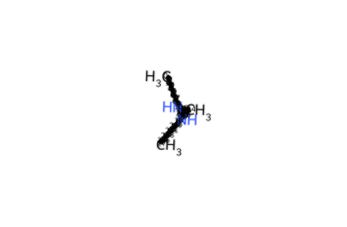 CCCCCCCCCCNc1cc(C)cc(NCCCCCCCCCC)c1